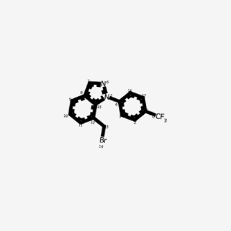 FC(F)(F)c1ccc(-n2ncc3cccc(CBr)c32)cc1